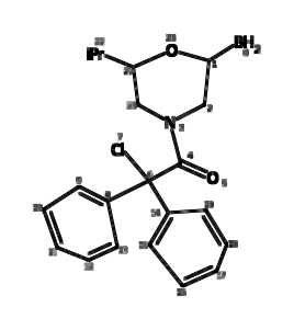 BC1CN(C(=O)C(Cl)(c2ccccc2)c2ccccc2)CC(C(C)C)O1